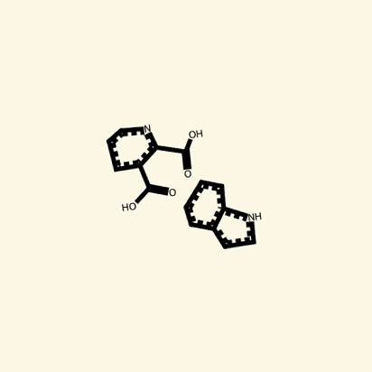 O=C(O)c1cccnc1C(=O)O.c1ccc2[nH]ccc2c1